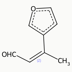 C/C(=C/C=O)c1ccoc1